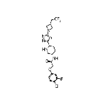 O=C(COc1ccc(Cl)c(F)c1)N[C@H]1CC[C@H](c2nnc(N3CC(CC(F)(F)F)C3)o2)NC1